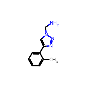 Cc1ccccc1-c1cn(CN)nn1